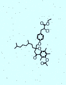 CCOC(=O)C(Cl)Cc1ccc(OCC2(CCC(C)CCCC(C)C)CC(=O)c3c(C)c(OC(C)=O)c(C)c(C)c3O2)cc1